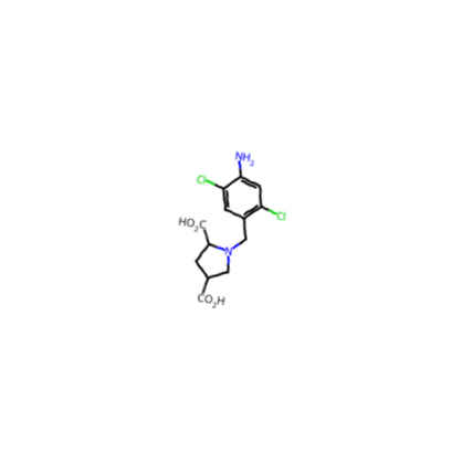 Nc1cc(Cl)c(CN2CC(C(=O)O)CC2C(=O)O)cc1Cl